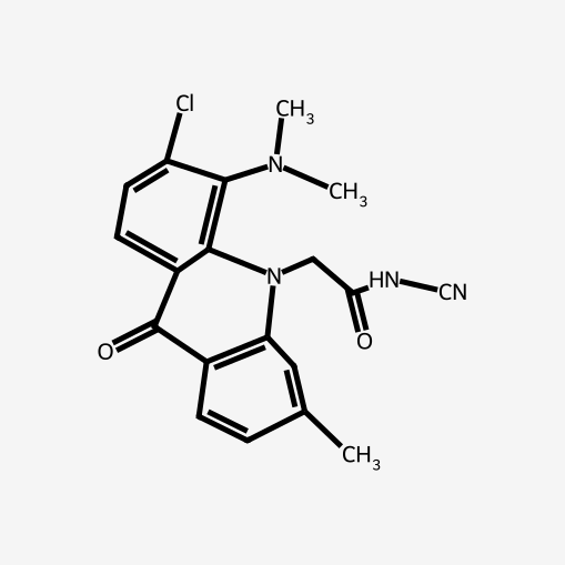 Cc1ccc2c(=O)c3ccc(Cl)c(N(C)C)c3n(CC(=O)NC#N)c2c1